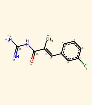 C/C(=C\c1cccc(Cl)c1)C(=O)NC(=N)N